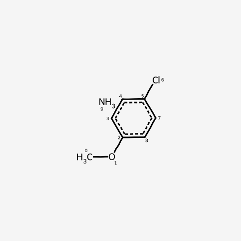 COc1ccc(Cl)cc1.N